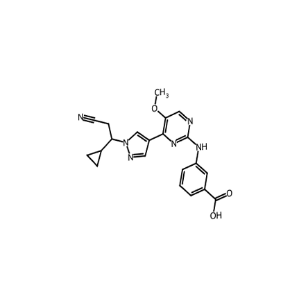 COc1cnc(Nc2cccc(C(=O)O)c2)nc1-c1cnn(C(CC#N)C2CC2)c1